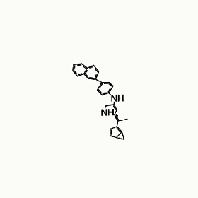 C/C(=C\C=C(/CN)Nc1ccc(-c2ccc3ccccc3c2)cc1)C1=C2CC2C=C1